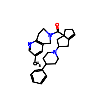 O=C(N1CCc2ncc(C(F)(F)F)cc2C1)C12CCC=C1CC(N1CCC(c3ccccc3)CC1)C2